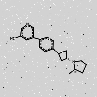 C[C@@H]1CCCN1[C@H]1C[C@H](c2ccc(-c3cncc(C#N)c3)cc2)C1